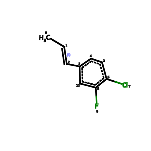 C/C=C/c1ccc(Cl)c(F)c1